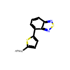 CCCCCCc1ccc(-c2cccc3nsnc23)s1